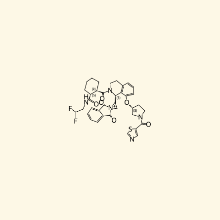 O=C(NCC(F)F)[C@H]1CCCC[C@H]1C(=O)N1CCc2cccc(O[C@H]3CCN(C(=O)c4cncs4)C3)c2[C@H]1C1C[N+]12C(=O)c1ccccc1C2=O